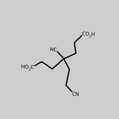 N#CCCC(C#N)(CCC(=O)O)CCC(=O)O